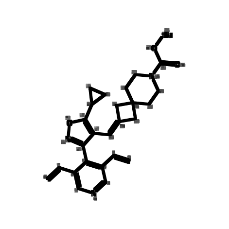 C=Cc1cncc(C=C)c1-c1noc(C2CC2)c1C=C1CC2(CCN(C(=O)OC(C)(C)C)CC2)C1